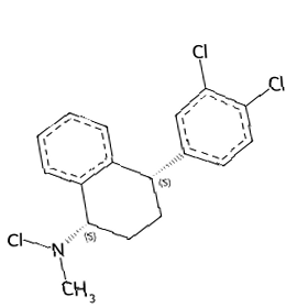 CN(Cl)[C@H]1CC[C@@H](c2ccc(Cl)c(Cl)c2)c2ccccc21